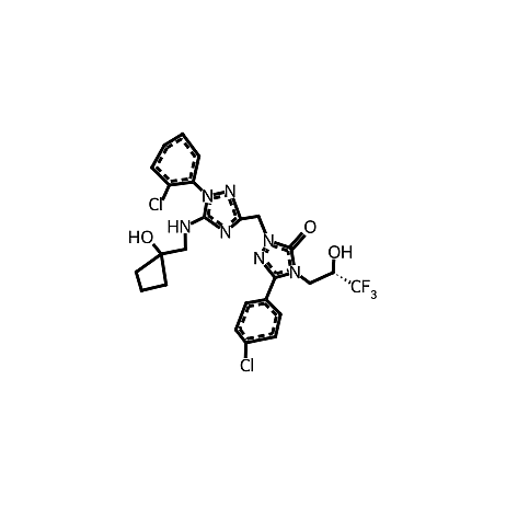 O=c1n(Cc2nc(NCC3(O)CCC3)n(-c3ccccc3Cl)n2)nc(-c2ccc(Cl)cc2)n1C[C@H](O)C(F)(F)F